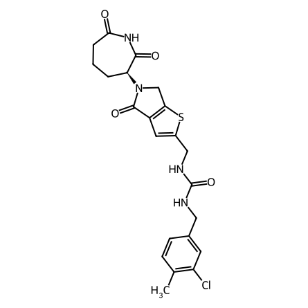 Cc1ccc(CNC(=O)NCc2cc3c(s2)CN([C@H]2CCCC(=O)NC2=O)C3=O)cc1Cl